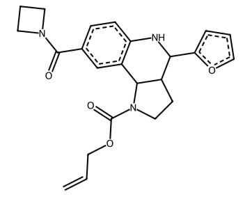 C=CCOC(=O)N1CCC2C(c3ccco3)Nc3ccc(C(=O)N4CCC4)cc3C21